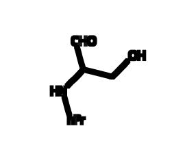 CCCNC(C=O)CO